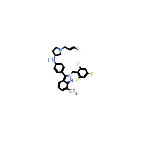 CC/C=C/CN1CC[C@H](Nc2ccc(-c3c4cccc(C(F)(F)F)c4nn3Cc3c(F)cc(F)cc3F)cc2)C1